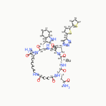 CC[C@H](C)[C@@H]1NC(=O)[C@H](CCC(N)=O)NC(=O)CCC(=O)NCCCC[C@@H](C(N)=O)NC(=O)[C@H](Cc2c[nH]c3ccccc23)NC(=O)[C@@H]2C[C@H](n3cc(-c4ccc(-c5cccs5)s4)nn3)CN2C1=O